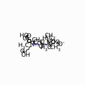 CCCC[N+]1=C(/C=C/C2=C(Cl)C(=C/C=C3/N(CCCCCC(=O)O)c4c(C)cc(S(=O)(=O)O)cc4C3(C)C)/CCC2)C(C)(C)c2cc(OS[O-])cc(C)c21